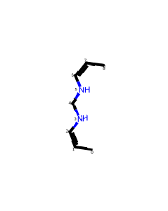 C/C=C\NCN/C=C\C